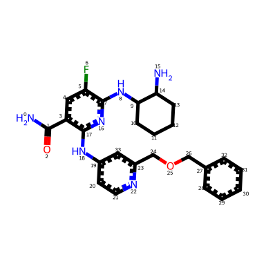 NC(=O)c1cc(F)c(NC2CCCCC2N)nc1Nc1ccnc(COCc2ccccc2)c1